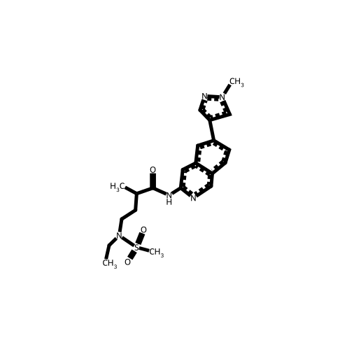 CCN(CCC(C)C(=O)Nc1cc2cc(-c3cnn(C)c3)ccc2cn1)S(C)(=O)=O